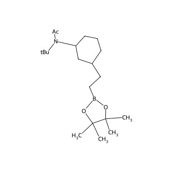 CC(=O)N(C1CCCC(CCB2OC(C)(C)C(C)(C)O2)C1)C(C)(C)C